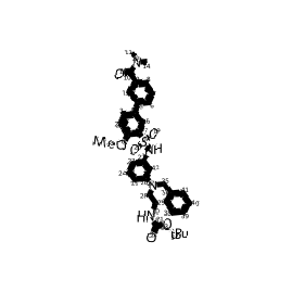 COc1ccc(-c2cccc(C(=O)N(C)C)c2)cc1S(=O)(=O)Nc1cccc(N(CCNC(=O)OC(C)(C)C)Cc2ccccc2)c1